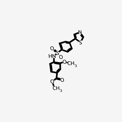 COC(=O)c1ccc(NS(=O)(=O)c2ccc(-c3cncs3)cc2)c(OC)c1